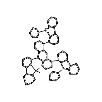 CC1(C)c2ccccc2-c2cccc(-c3c4cccc(-c5cccc6c7ccccc7p(-c7ccccc7)c56)c4cc4c(-c5cccc6c7ccccc7p(-c7ccccc7)c56)cccc34)c21